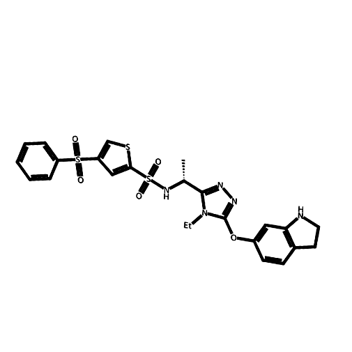 CCn1c(Oc2ccc3c(c2)NCC3)nnc1[C@@H](C)NS(=O)(=O)c1cc(S(=O)(=O)c2ccccc2)cs1